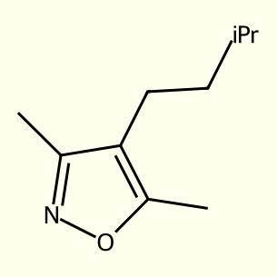 Cc1noc(C)c1CCC(C)C